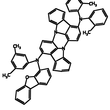 Cc1cc(C)cc(N(c2cccc3c2oc2ccccc23)c2ccc3c4c2c2ccccc2n4c2ccc(N(c4ccccc4C)c4ccccc4C)c4c5ccccc5n3c42)c1